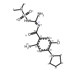 CN(C)S(=O)(=O)N/C(N)=N\C(=O)c1nc(Cl)c(N2CCCC2)nc1N